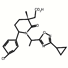 CC(c1nc(C2CC2)no1)N1C(=O)[C@@](C)(CC(=O)O)CCC1c1ccc(Cl)cc1